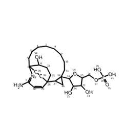 NC1=N\C23CCCCCCCCC4(C5OC(COP(=O)(O)O)C(O)C5O)CC4C(/C=C\1)(CCC2O)CC3